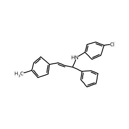 Cc1ccc(C=CC(Nc2ccc(Cl)cc2)c2ccccc2)cc1